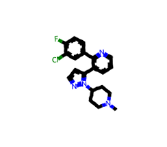 CN1CCC(n2nccc2-c2cccnc2-c2ccc(F)c(Cl)c2)CC1